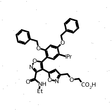 CCNC(=O)c1noc(-c2cc(C(C)C)c(OCc3ccccc3)cc2OCc2ccccc2)c1-c1cc(COCC(=O)O)no1